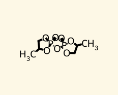 CC1COP(=O)(OP2(=O)OCC(C)O2)O1